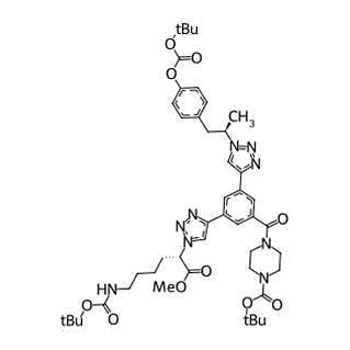 COC(=O)[C@H](CCCCNC(=O)OC(C)(C)C)n1cc(-c2cc(C(=O)N3CCN(C(=O)OC(C)(C)C)CC3)cc(-c3cn([C@H](C)Cc4ccc(OC(=O)OC(C)(C)C)cc4)nn3)c2)nn1